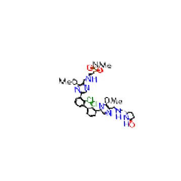 CNS(=O)(=O)CCNCc1ncc(-c2cccc(-c3cccc(-c4cnc(CNC[C@@H]5CCC(=O)N5)c(OC)n4)c3Cl)c2Cl)nc1OC